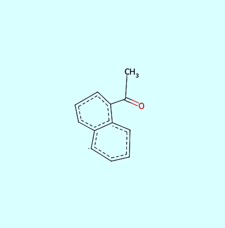 CC(=O)c1cccc2[c]cccc12